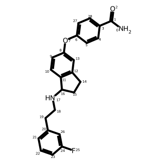 NC(=O)c1ccc(Oc2ccc3c(c2)CCC3NCCc2cccc(F)c2)cc1